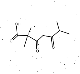 CC(C)C(=O)CC(=O)C(C)(C)C(=O)O